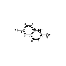 Brc1ccc2cc(I)ccc2n1